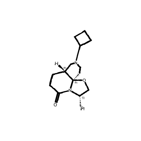 CC(C)[C@H]1CO[C@]23CCN(C4CCC4)C[C@H]2CCC(=O)N13